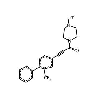 CC(C)N1CCN(C(=O)C#Cc2ccc(-c3ccccc3)c(C(F)(F)F)c2)CC1